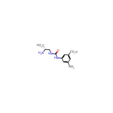 N[C@@H](CNC(=O)Nc1cc(C(=O)O)cc([N+](=O)[O-])c1)C(=O)O